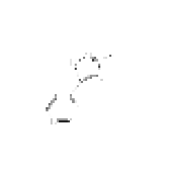 FC(F)(F)c1n[nH]c(-c2ccncn2)c1C(F)(F)F